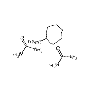 CCCCCC1CCCCC1.NC(N)=O.NC(N)=O